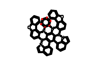 c1ccc(N2c3c4c(c5c6c3N(c3ccccc3)c3c(ccc7oc8ccccc8c37)B6n3ccc6cccc-5c63)-c3cccc5ccn(c35)B4c3ccc4oc5ccccc5c4c32)cc1